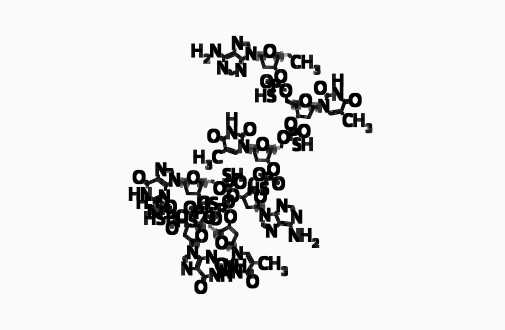 CC[C@H]1O[C@@H](n2cnc3c(N)ncnc32)CC1OP(=O)(S)OC[C@H]1O[C@@H](n2cc(C)c(=O)[nH]c2=O)CC1OP(=O)(S)OC[C@H]1O[C@@H](n2cc(C)c(=O)[nH]c2=O)CC1OP(=O)(S)OC[C@H]1O[C@@H](n2cnc3c(N)ncnc32)CC1OP(=O)(S)OC[C@H]1O[C@@H](n2cnc3c(=O)[nH]c(N)nc32)CC1OP(=O)(S)OC[C@H]1O[C@@H](n2cc(C)c(=O)[nH]c2=O)CC1OP(=O)(S)OC[C@H]1O[C@@H](n2cnc3c(=O)[nH]c(N)nc32)CC1OP(=O)(S)OC